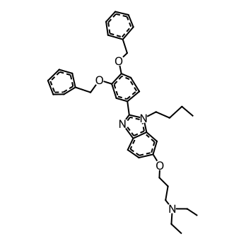 CCCCn1c(-c2ccc(OCc3ccccc3)c(OCc3ccccc3)c2)nc2ccc(OCCCN(CC)CC)cc21